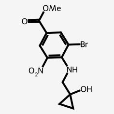 COC(=O)c1cc(Br)c(NCC2(O)CC2)c([N+](=O)[O-])c1